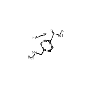 CC(C)N.CNNCc1ccc(C(=O)NC(C)C)cc1